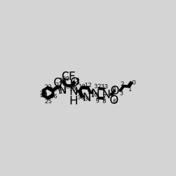 C=CCCOC(=O)N1CCN(c2ccc(NC(=O)c3nc(-c4ccccc4)oc3C(F)(F)F)cn2)CC1